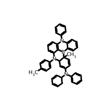 Cc1ccc(N2c3cccc4c3B(c3ccccc3N4c3ccccc3)C3(C)C=CC(N(c4ccccc4)C4C=CC=CC4)=CC23)cc1